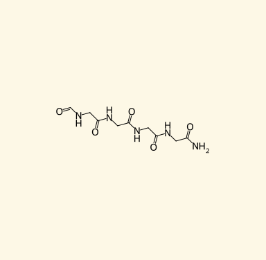 NC(=O)CNC(=O)CNC(=O)CNC(=O)CNC=O